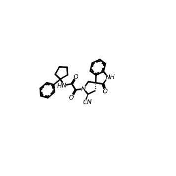 N#C[C@@H]1C[C@@]2(CN1C(=O)C(=O)NC1(c3ccccc3)CCCC1)C(=O)Nc1ccccc12